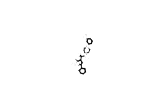 COc1cccc(N2CCN(C(=O)C(=O)c3cc(-c4ccccc4)[nH]c3C)CC2)c1